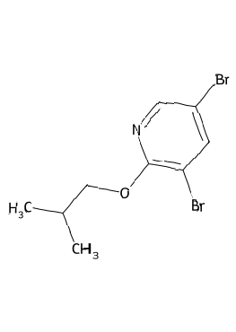 CC(C)COc1ncc(Br)cc1Br